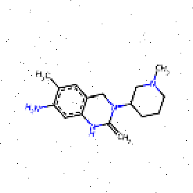 C=C1Nc2cc(N)c(C)cc2CN1[C@@H]1CCCN(C)C1